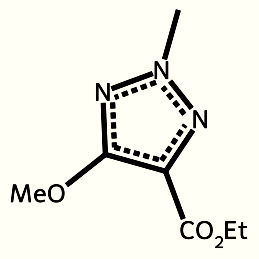 CCOC(=O)c1nn(C)nc1OC